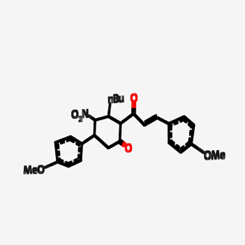 CCCCC1C(C(=O)C=Cc2ccc(OC)cc2)C(=O)CC(c2ccc(OC)cc2)C1[N+](=O)[O-]